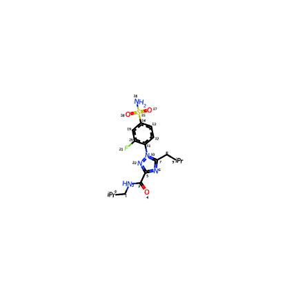 CC(C)CNC(=O)c1nc(CC(C)C)n(-c2ccc(S(N)(=O)=O)cc2F)n1